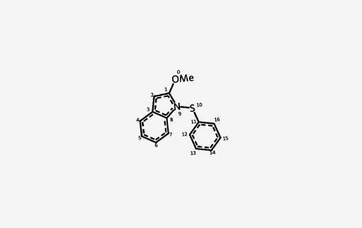 COc1cc2ccccc2n1Sc1ccccc1